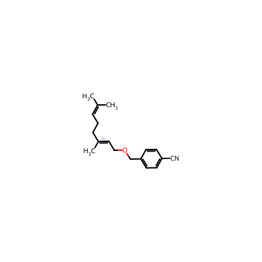 CC(C)=CCC/C(C)=C/COCc1ccc(C#N)cc1